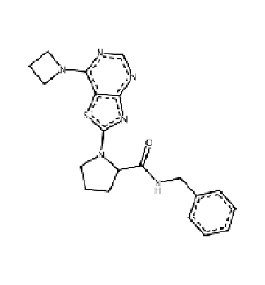 O=C(NCc1ccccc1)C1CCCN1c1nc2ncnc(N3CCC3)c2s1